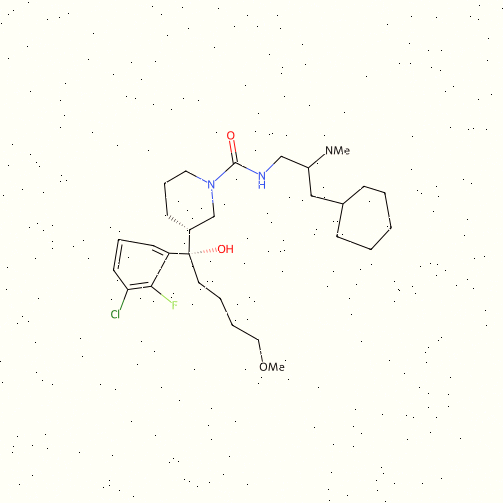 CNC(CNC(=O)N1CCC[C@@H]([C@@](O)(CCCCOC)c2cccc(Cl)c2F)C1)CC1CCCCC1